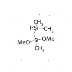 CO[Si](C)(C[SiH](C)C)OC